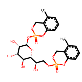 Cc1cccc2c1COP(=O)(OC[C@@H](O)[C@H]1O[C@H](OP3(=O)OCc4c(C)cccc4O3)[C@@H](O)[C@@H](O)[C@@H]1O)O2